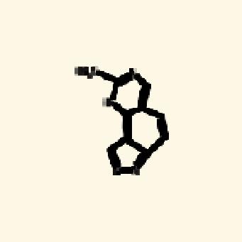 O=C(O)c1ncc2ccc3nncc3c2[nH]1